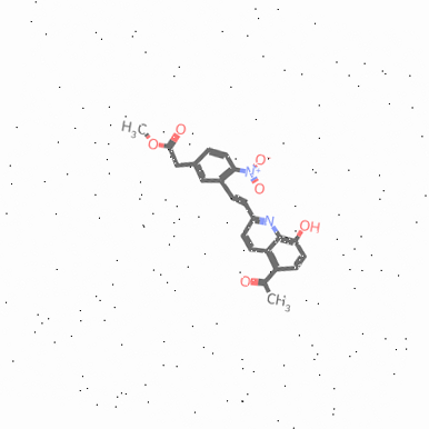 COC(=O)Cc1ccc([N+](=O)[O-])c(/C=C/c2ccc3c(C(C)=O)ccc(O)c3n2)c1